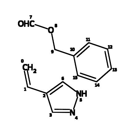 C=Cc1cn[nH]c1.O=COCc1ccccc1